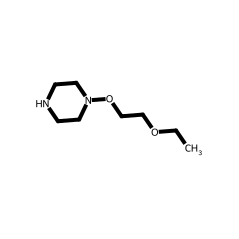 CCOCCON1CCNCC1